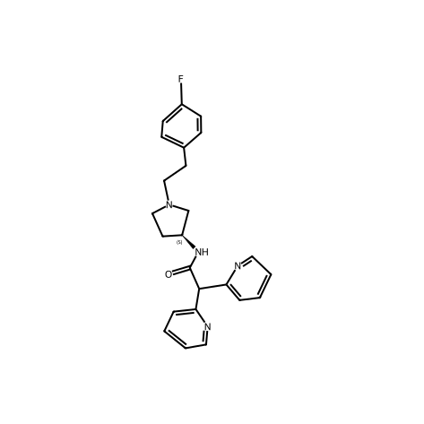 O=C(N[C@H]1CCN(CCc2ccc(F)cc2)C1)C(c1ccccn1)c1ccccn1